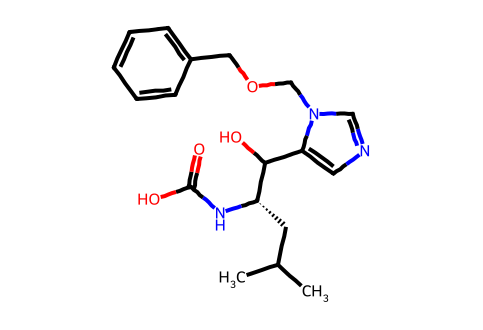 CC(C)C[C@H](NC(=O)O)C(O)c1cncn1COCc1ccccc1